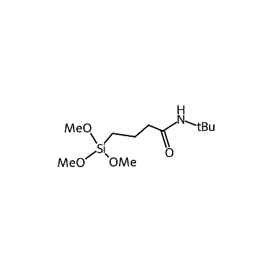 CO[Si](CCCC(=O)NC(C)(C)C)(OC)OC